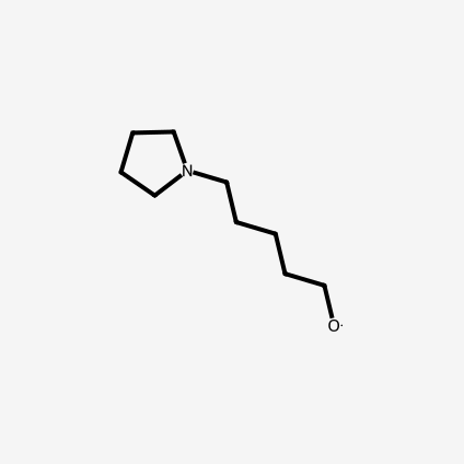 [O]CCCCCN1CCCC1